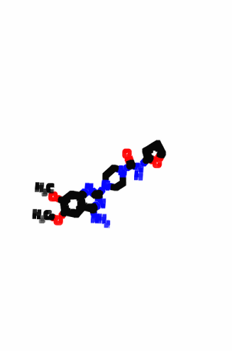 COc1cc2nc(N3CCN(C(=O)Nc4ccco4)CC3)nc(N)c2cc1OC